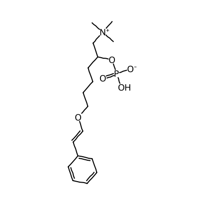 C[N+](C)(C)CC(CCCCOC=Cc1ccccc1)OP(=O)([O-])O